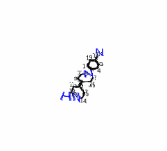 N#Cc1ccc(N2CCC(C3CCNCC3)CC2)cc1